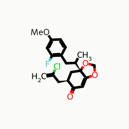 C=C(Cl)C[C@H]1C[C@]2(C(C)Cc3ccc(OC)cc3F)OCOC2=CC1=O